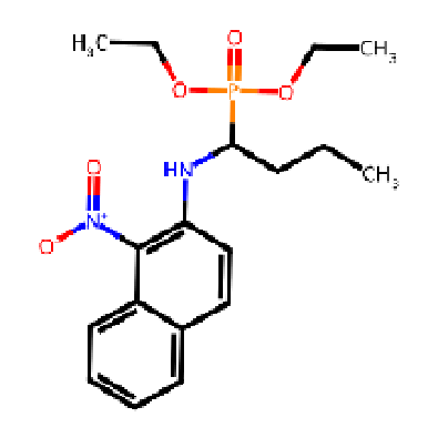 CCCC(Nc1ccc2ccccc2c1[N+](=O)[O-])P(=O)(OCC)OCC